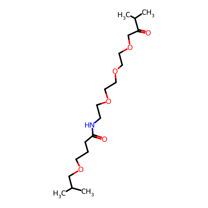 CC(C)COCCCC(=O)NCCOCCOCCOCC(=O)C(C)C